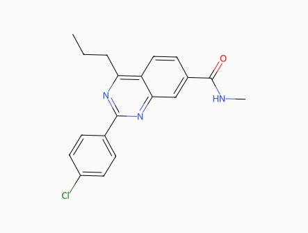 CCCc1nc(-c2ccc(Cl)cc2)nc2cc(C(=O)NC)ccc12